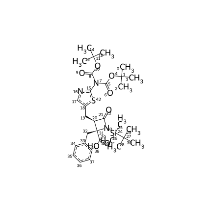 CC(C)(C)OC(=O)N(C(=O)OC(C)(C)C)c1ncc(C[C@H]2C(=O)N([Si](C)(C)C(C)(C)C)[C@]2(Cc2ccccc2)C(=O)O)s1